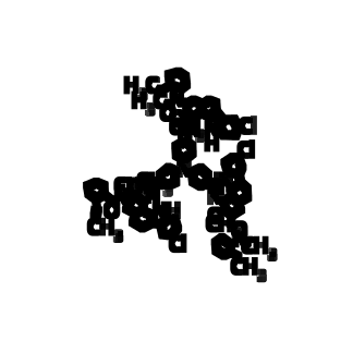 CC#Cc1ccccc1C(=O)N(C)c1cc2ccc3c4cc(Cl)ccc4[nH]c3c2c(N=Nc2ccc(N(c3ccc(N=Nc4c(OC)c(CON(C)c5ccccc5CC)cc5ccc6c7cc(Cl)ccc7[nH]c6c45)cc3)c3ccc(N=Nc4c(OC)c(N(C(C)=O)c5ccccc5CC)cc5ccc6c7cc(Cl)ccc7[nH]c6c45)cc3)cc2)c1OC